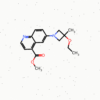 CCOC1(C)CN(c2ccc3nccc(C(=O)OC)c3c2)C1